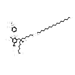 CC(C)CCCCCC(CCCCCC(C)C)(Cc1cc(C(C)(C)C)cc(C(C)(C)C)c1O)C(=O)O.CCCCCCCCCCCCCCCCCCO.OP(O)O.c1ccccc1